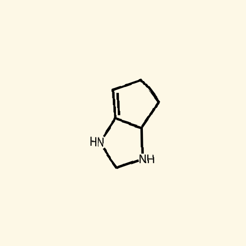 C1=C2NCNC2CC1